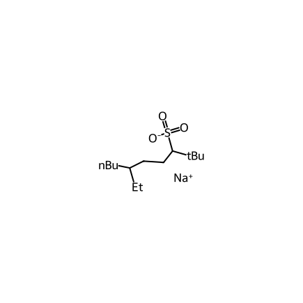 CCCCC(CC)CCC(C(C)(C)C)S(=O)(=O)[O-].[Na+]